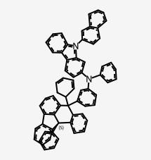 C1=CCC(C2(c3cccc(N(c4ccccc4)c4ccc5c6ccccc6n(-c6ccc7ccccc7c6)c5c4)c3)c3ccccc3[C@]3(c4ccccc4)c4ccccc4-c4cccc2c43)C=C1